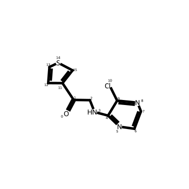 O=C(CNc1nccnc1Cl)c1ccsc1